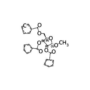 CO[C@H]1O[C@H](COC(=O)c2ccccc2)[C@@H](OC(=O)c2ccccc2)[C@H]1OC(=O)c1ccccc1